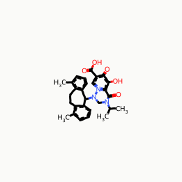 Cc1cccc2c1CCc1c(C)cccc1C2N1CN(C(C)C)C(=O)c2c(O)c(=O)c(C(=O)O)cn21